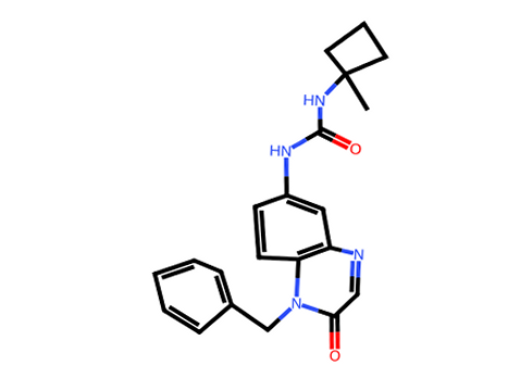 CC1(NC(=O)Nc2ccc3c(c2)ncc(=O)n3Cc2ccccc2)CCC1